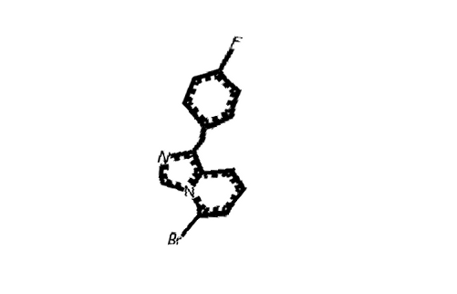 Fc1ccc(-c2ncn3c(Br)cccc23)cc1